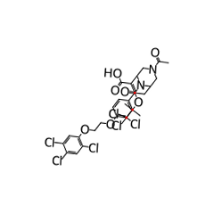 CC(=O)N1CC2CC(c3ccc(OCCOc4cc(Cl)c(Cl)cc4Cl)cc3)=C(C(=O)O)C(C1)N2C(=O)OC(C)(C)C(Cl)(Cl)Cl